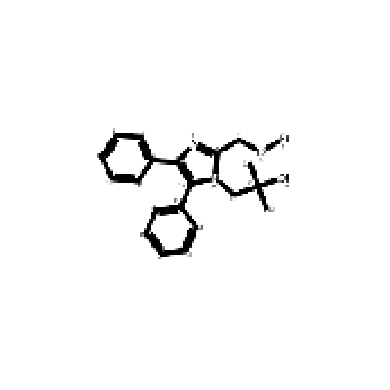 CCOCc1nc(-c2ccccc2)c(-c2ccccc2)n1CC(C)(C)O